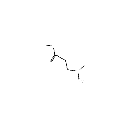 CCOC(=O)CCN(C)NC